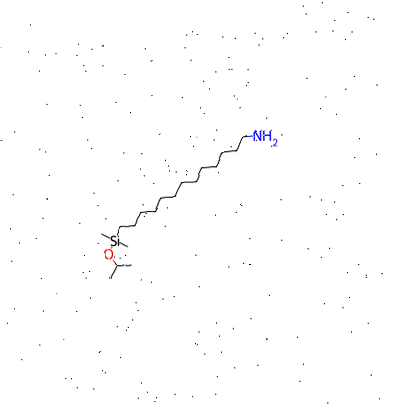 CC(C)O[Si](C)(C)CCCCCCCCCCCCCN